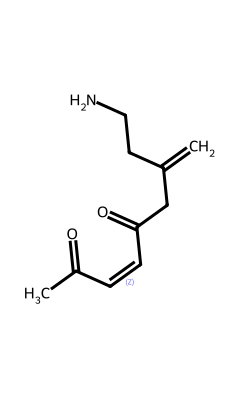 C=C(CCN)CC(=O)/C=C\C(C)=O